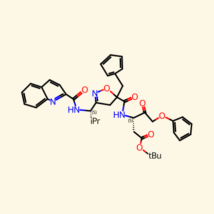 CC(C)[C@H](NC(=O)c1ccc2ccccc2n1)C1=NOC(Cc2ccccc2)(C(=O)N[C@@H](CC(=O)OC(C)(C)C)C(=O)COc2ccccc2)C1